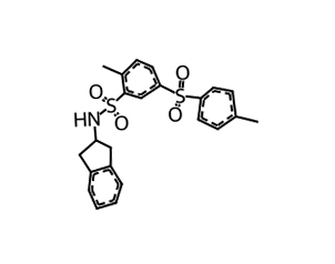 Cc1ccc(S(=O)(=O)c2ccc(C)c(S(=O)(=O)NC3Cc4ccccc4C3)c2)cc1